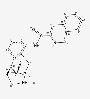 O=C(Nc1cccc2c1C[C@H]1NCC[C@@]23CCCC[C@@H]13)c1cc2ccccc2cn1